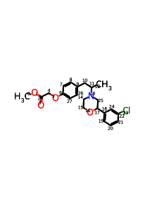 COC(=O)COc1ccc(CC(C)N2CCOC(c3cccc(Cl)c3)C2)cc1